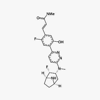 CNC(=O)/C=C/c1cc(O)c(-c2ccc(N(C)[C@@H]3C[C@H]4CC[C@H](N4)[C@@H]3F)nn2)cc1F